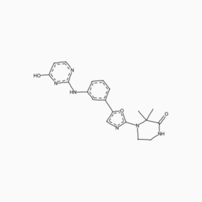 CC1(C)C(=O)NCCN1c1ncc(-c2cccc(Nc3nccc(O)n3)c2)o1